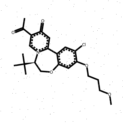 COCCCOc1cc2c(cc1Cl)-c1cc(=O)c(C(C)=O)cn1[C@H](C(C)(C)C)CO2